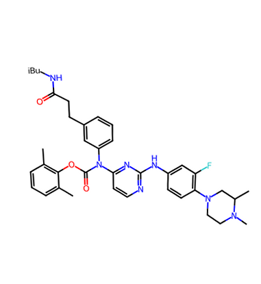 CCC(C)NC(=O)CCc1cccc(N(C(=O)Oc2c(C)cccc2C)c2ccnc(Nc3ccc(N4CCN(C)C(C)C4)c(F)c3)n2)c1